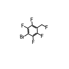 FCc1c(F)c(F)c(Br)c(F)c1F